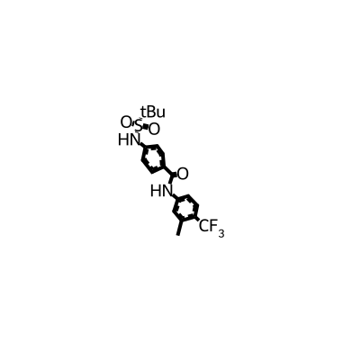 Cc1cc(NC(=O)c2ccc(NS(=O)(=O)C(C)(C)C)cc2)ccc1C(F)(F)F